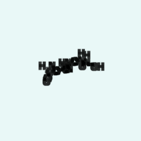 Nc1cc(-c2ccnc(Nc3ccc(NC(=O)NCCO)cc3)n2)ccc1OC1CCOCC1